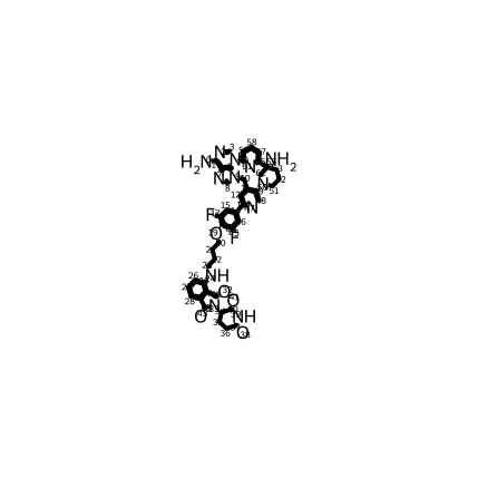 Nc1ncnc2c1ncn2Cc1cc(-c2cc(F)c(OCCCCNc3cccc4c3C(=O)N(C3CCC(=O)NC3=O)C4=O)c(F)c2)ncc1N1CCC[C@](N)(c2ccccn2)C1